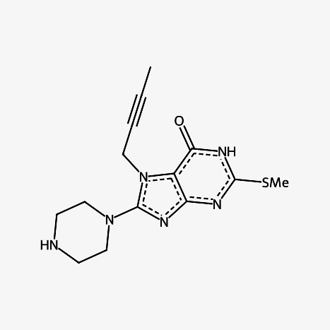 CC#CCn1c(N2CCNCC2)nc2nc(SC)[nH]c(=O)c21